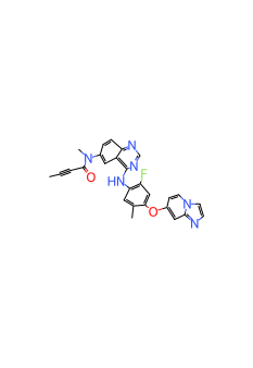 CC#CC(=O)N(C)c1ccc2ncnc(Nc3cc(C)c(Oc4ccn5ccnc5c4)cc3F)c2c1